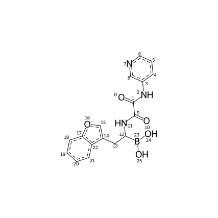 O=C(Nc1cccnc1)C(=O)NC(Cc1coc2ccccc12)B(O)O